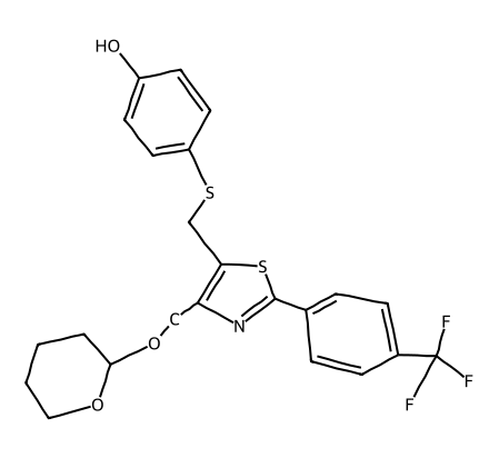 Oc1ccc(SCc2sc(-c3ccc(C(F)(F)F)cc3)nc2COC2CCCCO2)cc1